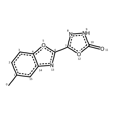 Cc1ccc2oc(-c3n[nH]c(=O)o3)nc2c1